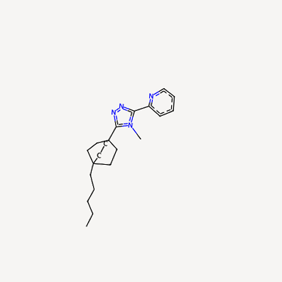 CCCCCC12CCC(c3nnc(-c4ccccn4)n3C)(CC1)CC2